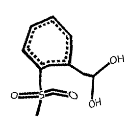 CS(=O)(=O)c1ccccc1C(O)O